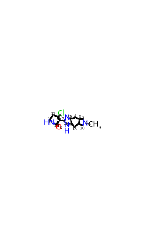 Cn1cc2cc3nc(-c4c(Cl)cc[nH]c4=O)[nH]c3cc2c1